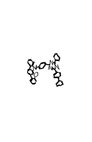 c1ccc(-c2ccc(-c3nc(-c4ccccc4)nc(-c4ccc(-n5c6ccccc6c6ccc7c8ccccc8oc7c65)cc4)n3)cc2)cc1